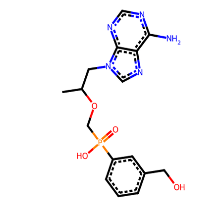 CC(Cn1cnc2c(N)ncnc21)OCP(=O)(O)c1cccc(CO)c1